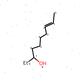 C/C=C/CCCCC(O)CC